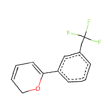 FC(F)(F)c1cccc(C2=CC=CCO2)c1